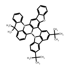 CC(C)(C)c1ccc2c(c1)c1cc(C(C)(C)C)cc3c1n2B1c2cccc4c2N(c2ccccc2C4(C)C)c2cc4c(oc5ccccc54)c-3c21